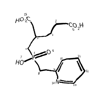 O=C(O)CCC(CP(=O)(O)Cc1ccccn1)C(=O)O